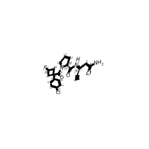 C#C[C@H](CC(N)=O)NC(=O)[C@@H]1CCCN1C(=O)C1(c2ccc(Cl)cc2)CC(F)C1